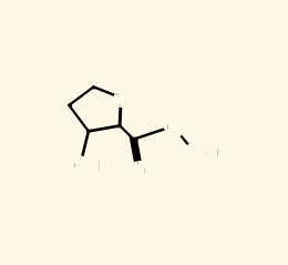 CC(C)(C)OC(=O)C1SCCC1O